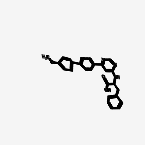 COc1ccc(-c2ccc(-c3cc(N[C@@H](Cc4ccccc4)C(=O)O)ncn3)cc2)cc1